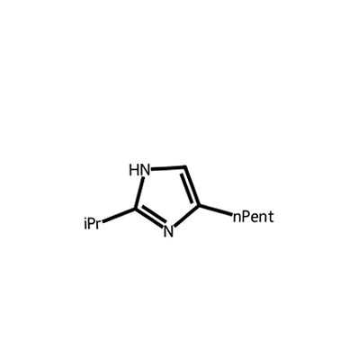 CCCCCc1c[nH]c(C(C)C)n1